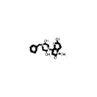 C[C@@H]1CN(c2cc(=O)n(C)c3ccc(C#N)nc23)[C@@H](C)CN1Cc1ccccc1